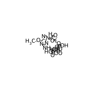 CCOc1nc(N)nc2c1ncn2[C@@H]1O[C@@]2(COP(=O)(O)OP(=O)(O)OP(=O)(O)O)CO[C@@H]1C2